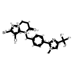 Cn1cc(C(F)(F)F)nc1-c1ccc(CN2C(=O)CCn3nc(Br)c(Cl)c32)cc1